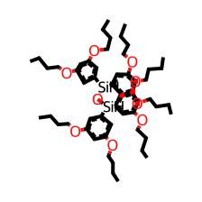 CCCCOc1cc(OCCCC)cc([SiH](O[SiH](c2cc(OCCCC)cc(OCCCC)c2)c2cc(OCCCC)cc(OCCCC)c2)c2cc(OCCCC)cc(OCCCC)c2)c1